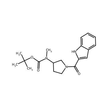 CN(C(=O)OC(C)(C)C)C1CCN(C(=O)c2cc3ccccc3[nH]2)C1